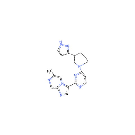 FC(F)(F)c1cn2c(-c3nccc(N4CCCC(c5cc[nH]n5)C4)n3)cnc2cn1